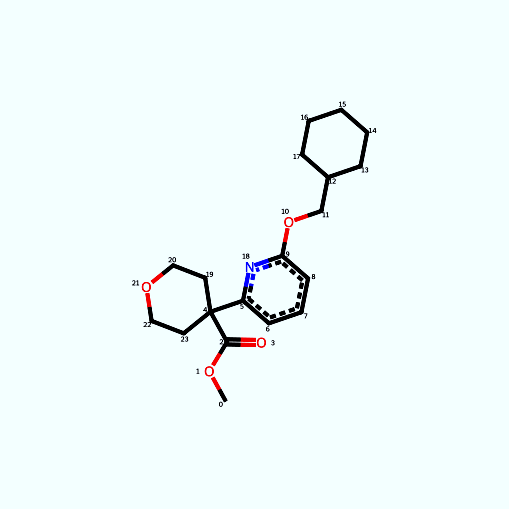 COC(=O)C1(c2cccc(OCC3CCCCC3)n2)CCOCC1